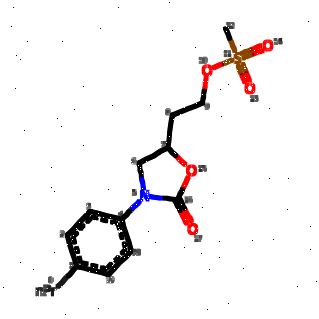 CCCc1ccc(N2CC(CCOS(C)(=O)=O)OC2=O)cc1